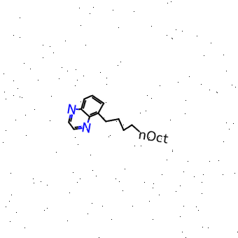 CCCCCCCCCCCCc1cccc2nccnc12